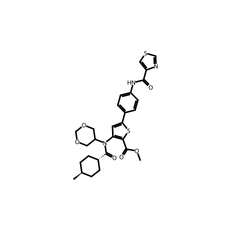 COC(=O)c1sc(-c2ccc(NC(=O)c3cscn3)cc2)cc1N(C(=O)[C@H]1CC[C@H](C)CC1)C1COCOC1